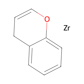 C1=COc2ccccc2C1.[Zr]